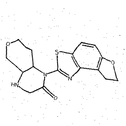 O=C1CNC2COCCC2N1c1nc2c3c(ccc2s1)OCC3